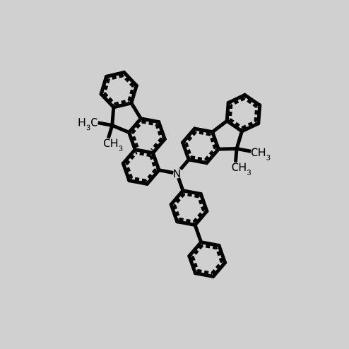 CC1(C)c2ccccc2-c2ccc(N(c3ccc(-c4ccccc4)cc3)c3cccc4c5c(ccc34)-c3ccccc3C5(C)C)cc21